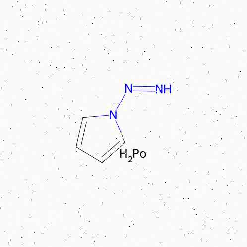 N=Nn1cccc1.[PoH2]